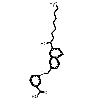 CCCCCCCCC(O)c1ccc2ccc(COc3cccc(C(=O)O)c3)cc2c1